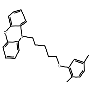 Cc1ccc(C)c(OCCCCCN2c3ccccc3Oc3ccccc32)c1